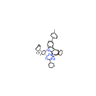 Cc1ccc(-c2ccc3c(c2)c2ccccc2n3-c2cc(-c3ccccc3C(F)(F)F)ccc2-c2nc(-c3ccccc3)nc(-c3ccccc3)n2)cc1